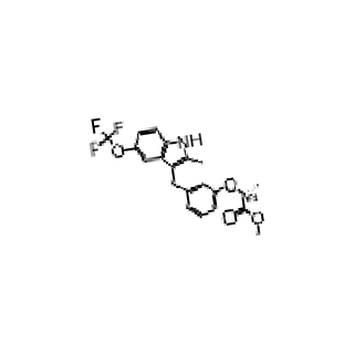 COC(=O)[C@@H](C)Oc1cccc(Cc2c(C)[nH]c3ccc(OC(F)(F)F)cc23)c1